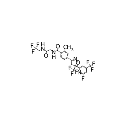 Cc1cc(C2=NO[C@@](c3cc(C(F)(F)F)cc(F)n3)(C(F)(F)F)C2)ccc1C(=O)NCC(=O)NCC(F)(F)F